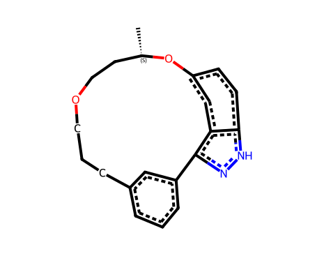 C[C@H]1CCOCCCc2cccc(c2)-c2n[nH]c3ccc(cc23)O1